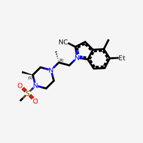 CCc1ccc2c(cc(C#N)n2C[C@@H](C)N2CCN(S(C)(=O)=O)[C@@H](C)C2)c1C